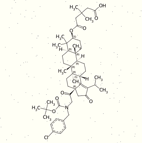 CC(C)C1=C2[C@H]3CC[C@@H]4[C@@]5(C)CC[C@H](OC(=O)CC(C)(C)CC(=O)O)C(C)(C)[C@@H]5CC[C@@]4(C)[C@]3(C)CC[C@@]2(C(=O)CN(Cc2ccc(Cl)cc2)C(=O)OC(C)(C)C)CC1=O